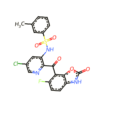 Cc1cccc(S(=O)(=O)Nc2cc(Cl)cnc2C(=O)c2c(F)ccc3[nH]c(=O)oc23)c1